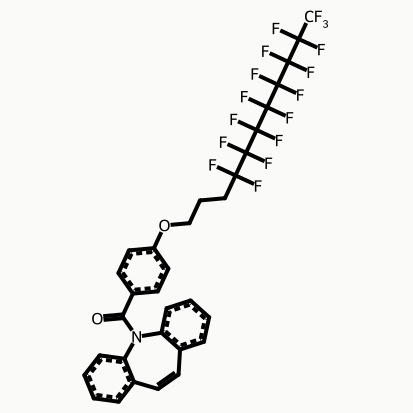 O=C(c1ccc(OCCCC(F)(F)C(F)(F)C(F)(F)C(F)(F)C(F)(F)C(F)(F)C(F)(F)C(F)(F)F)cc1)N1c2ccccc2C=Cc2ccccc21